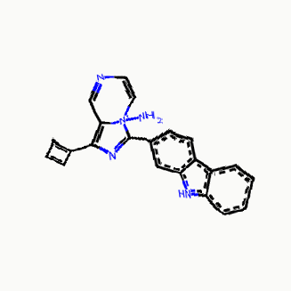 N[N+]12C=CN=CC1=C(C1=CC=C1)N=C2c1ccc2c(c1)[nH]c1ccccc12